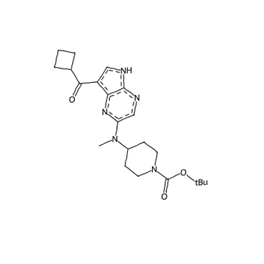 CN(c1cnc2[nH]cc(C(=O)C3CCC3)c2n1)C1CCN(C(=O)OC(C)(C)C)CC1